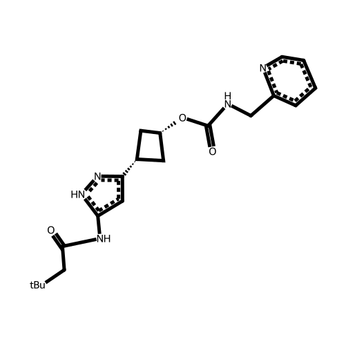 CC(C)(C)CC(=O)Nc1cc([C@H]2C[C@@H](OC(=O)NCc3ccccn3)C2)n[nH]1